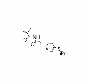 C=C(C)C(=O)NC(=O)CCc1ccc(SC(C)C)cc1